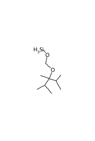 CC(C)C(C)(OCO[SiH3])C(C)C